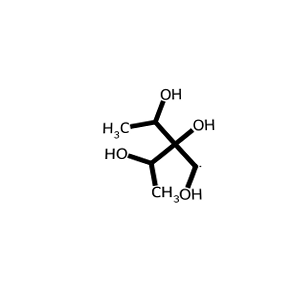 CC(O)C(O)([CH]O)C(C)O